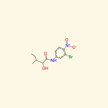 CCC(C)C(O)C(=O)Nc1ccc([N+](=O)[O-])c(Br)c1